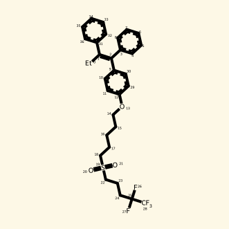 CCC(=C(c1ccccc1)c1ccc(OCCCCCS(=O)(=O)CCCC(F)(F)C(F)(F)F)cc1)c1ccccc1